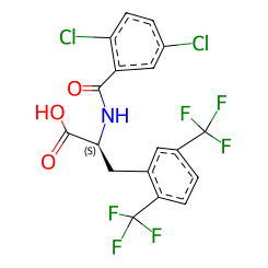 O=C(N[C@@H](Cc1cc(C(F)(F)F)ccc1C(F)(F)F)C(=O)O)c1cc(Cl)ccc1Cl